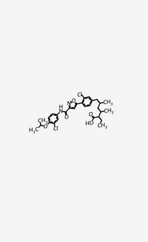 CCC(C(=O)O)C(C)CC(C)Cc1ccc(-c2cc(C(=O)Nc3ccc(OC(C)C)c(Cl)c3)no2)c(Cl)c1